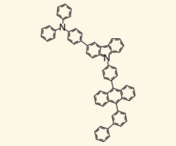 c1ccc(-c2cccc(-c3c4ccccc4c(-c4ccc(-n5c6ccccc6c6cc(-c7ccc(N(c8ccccc8)c8ccccc8)cc7)ccc65)cc4)c4ccccc34)c2)cc1